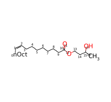 CCCCCCCC/C=C\CCCCCCCC(=O)OCCC(C)O